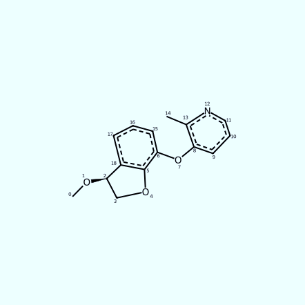 CO[C@@H]1COc2c(Oc3cccnc3C)cccc21